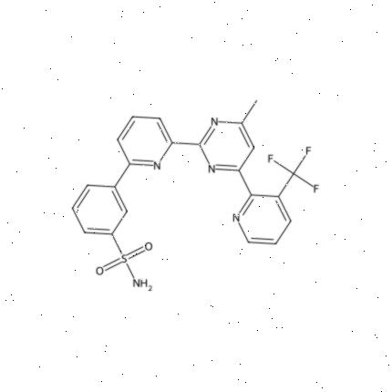 Cc1cc(-c2ncccc2C(F)(F)F)nc(-c2cccc(-c3cccc(S(N)(=O)=O)c3)n2)n1